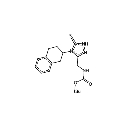 CC(C)(C)OC(=O)NCc1n[nH]c(=S)n1C1CCc2ccccc2C1